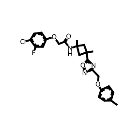 Cc1ccc(OCc2noc(C3(C)CC(C)(NC(=O)COc4ccc(Cl)c(F)c4)C3)n2)cc1